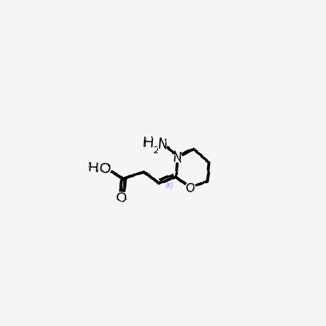 NN1CCCO/C1=C/CC(=O)O